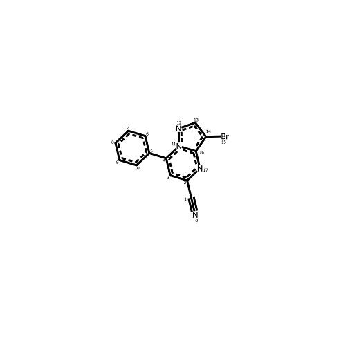 N#Cc1cc(-c2ccccc2)n2ncc(Br)c2n1